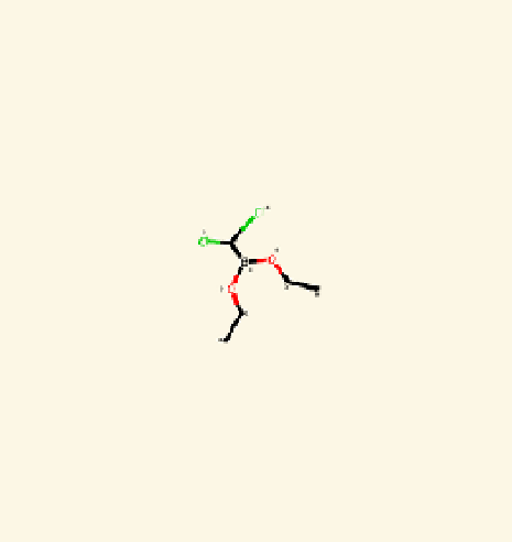 CCOB(OCC)C(Cl)Cl